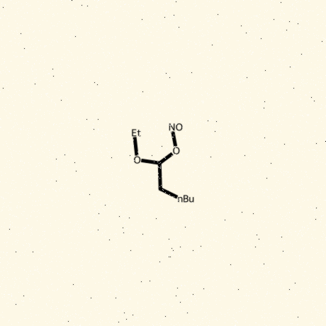 CCCCCC(OCC)ON=O